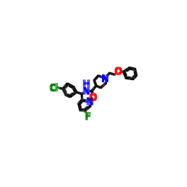 O=C(NC(c1ccc(Cl)cc1)c1ccc(F)cn1)C1CCN(CCOc2ccccc2)CC1